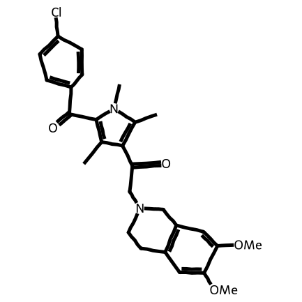 COc1cc2c(cc1OC)CN(CC(=O)c1c(C)c(C(=O)c3ccc(Cl)cc3)n(C)c1C)CC2